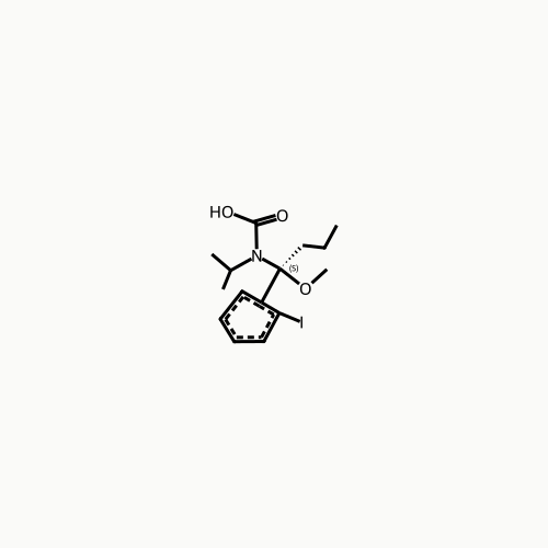 CCC[C@](OC)(c1ccccc1I)N(C(=O)O)C(C)C